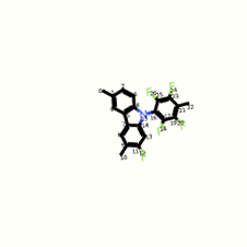 Cc1ccc2c(c1)c1cc(C)c(F)cc1n2-c1c(F)c(F)c(C)c(F)c1F